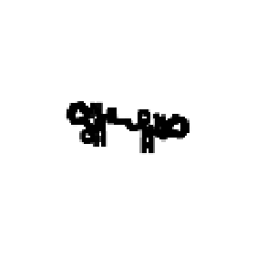 Cn1c(NC(=O)CCCSc2nc3ccccc3c(=O)[nH]2)cc2ccccc21